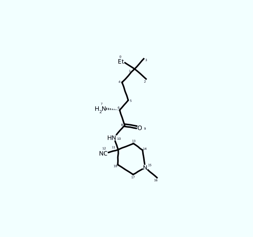 CCC(C)(C)CC[C@@H](N)C(=O)NC1(C#N)CCN(C)CC1